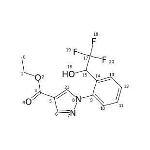 CCOC(=O)c1cnn(-c2ccccc2C(O)C(F)(F)F)c1